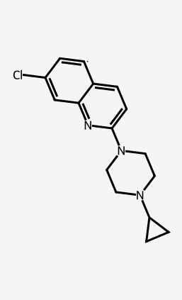 Clc1c[c]c2ccc(N3CCN(C4CC4)CC3)nc2c1